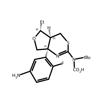 CC[C@H]1OC[C@]2(c3cc(N)ccc3F)N=C(N(C(=O)O)C(C)(C)C)SC[C@H]12